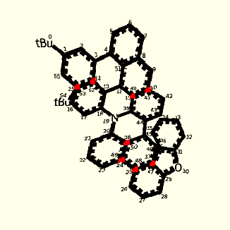 CC(C)(C)c1cc(-c2cccc3cccc(-c4ccccc4N(c4cccc(-c5cccc6oc7ccccc7c56)c4)c4ccccc4-c4ccccc4)c23)cc(C(C)(C)C)c1